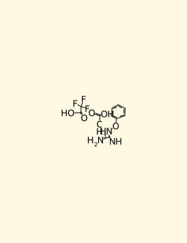 CC(=O)O.N=C(N)NOc1ccccc1.O=C(O)C(F)(F)F